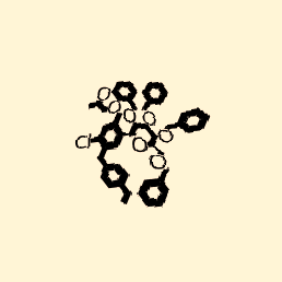 CCc1ccc(Cc2cc([C@@H]3O[C@H](COCc4ccccc4)[C@@H](OCc4ccccc4)[C@H](OCc4ccccc4)[C@H]3OCc3ccccc3)c(COCC(C)=O)cc2Cl)cc1